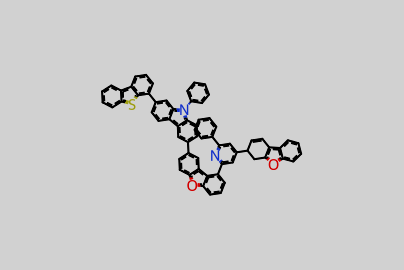 C1=CC(c2cc(-c3ccccc3)nc(-c3cccc4oc5ccc(-c6ccc7c(c6)c6ccc(-c8cccc9c8sc8ccccc89)cc6n7-c6ccccc6)cc5c34)c2)Cc2oc3ccccc3c21